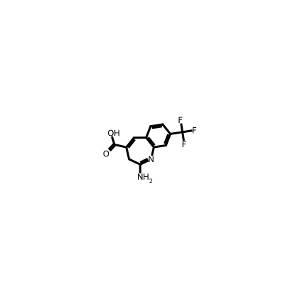 NC1=Nc2cc(C(F)(F)F)ccc2C=C(C(=O)O)C1